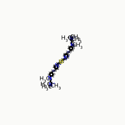 CN(CCC[N+](C)(C)C)c1ccc(/C=C/c2cc[n+](CCSSCC[n+]3ccc(/C=C/c4ccc(N(C)CCC[N+](C)(C)C)cc4)cc3)cc2)cc1